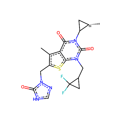 Cc1c(Cn2nc[nH]c2=O)sc2c1c(=O)n(C1C[C@@H]1C)c(=O)n2CC1CC1(F)F